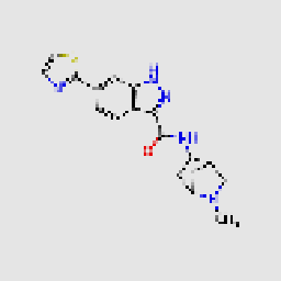 CN1CC2CC1CC2NC(=O)c1n[nH]c2cc(-c3nccs3)ccc12